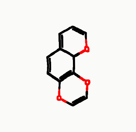 C1=COC2C(=C1)C=CC1=C2OC=CO1